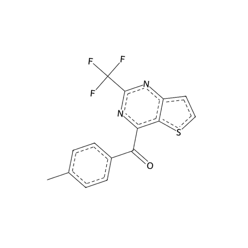 Cc1ccc(C(=O)c2nc(C(F)(F)F)nc3ccsc23)cc1